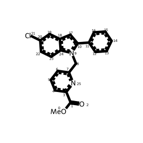 COC(=O)c1cccc(Cn2c(-c3ccccc3)cc3cc(Cl)ccc32)n1